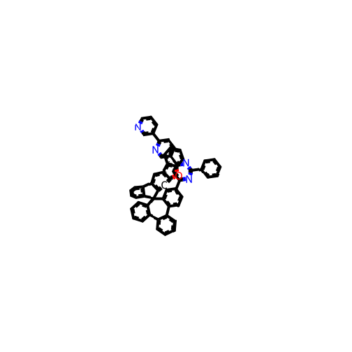 c1ccc(-c2nc(-c3ccc(-c4cccnc4)nc3)cc(-c3ccc4c(c3)C3(c5ccccc5-c5ccccc5-4)c4ccccc4-c4cc5c(cc43)oc3ccccc35)n2)cc1